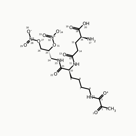 CC(=O)C(=O)NCCCC[C@H](NC(=O)CC[C@H](N)C(=O)O)C(=O)NC[C@H](CO[N+](=O)[O-])O[N+](=O)[O-]